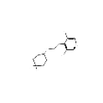 CC1(C)CCC(NCCc2c(Cl)cncc2Cl)CC1